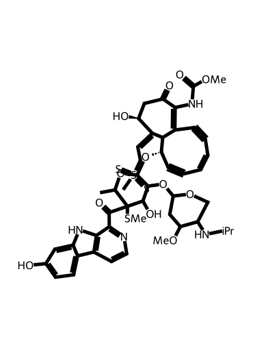 COC(=O)NC1=C2C#C/C=C\C#C[C@H](OC3OC(C)C(SC)(C(=O)c4nccc5c4[nH]c4cc(O)ccc45)C(O)C3OC3CC(OC)C(NC(C)C)CO3)C2/C(=C\CS(C)(=S)=S)[C@@H](O)CC1=O